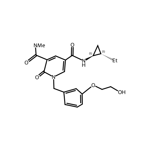 CC[C@H]1C[C@@H]1NC(=O)c1cc(C(=O)NC)c(=O)n(Cc2cccc(OCCO)c2)c1